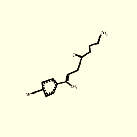 CCCCC(Cl)CC=C(C)c1ccc(Br)cc1